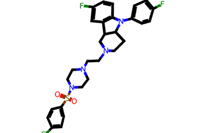 O=S(=O)(c1ccc(Cl)cc1)N1CCN(CCN2CCC3C(C2)c2cc(F)ccc2N3c2ccc(F)cc2)CC1